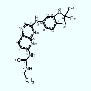 CCNC(=O)Nc1ccc2ncc(Nc3ccc4c(c3)OC(F)(F)O4)nc2n1